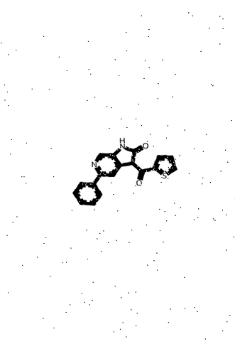 O=C1Nc2cnc(-c3ccccc3)cc2C1C(=O)c1cccs1